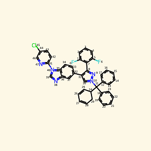 Fc1cccc(F)c1-c1nn(C(c2ccccc2)(c2ccccc2)C2C=CC=CC2)cc1-c1ccc2c(c1)ncn2-c1ccc(Cl)cn1